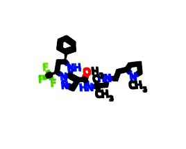 CN1CCCC1CCNCC(C)(C)NC(=O)c1cnn2c1N[C@@H](c1ccccc1)C[C@H]2C(F)(F)F